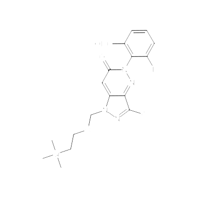 C[Si](C)(C)CCOCn1nc(Cl)c2nn(-c3c(F)cccc3C=O)c(=O)cc21